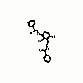 O=C(OCCc1c(Cl)ccc(OCC(O)c2ccccc2)c1Br)c1ccccc1